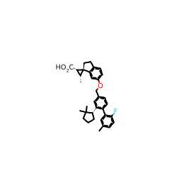 Cc1ccc(F)c(-c2ccc(COc3ccc4c(c3)[C@]3(CC4)[C@H](C)[C@@H]3C(=O)O)cc2[C@@H]2CCCC2(C)C)c1